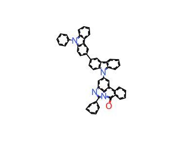 O=c1c2ccccc2c2cc(-n3c4ccccc4c4cc(-c5ccc6c(c5)c5ccccc5n6-c5ccccc5)ccc43)cc3nc(-c4ccccc4)n1c32